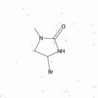 CN1[CH]C(Br)NC1=O